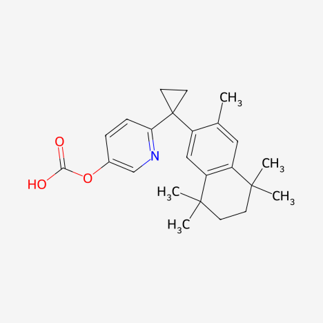 Cc1cc2c(cc1C1(c3ccc(OC(=O)O)cn3)CC1)C(C)(C)CCC2(C)C